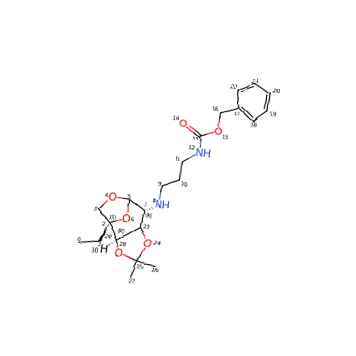 CC[C@@]12COC(O1)[C@H](NCCCNC(=O)OCc1ccccc1)C1OC(C)(C)O[C@H]12